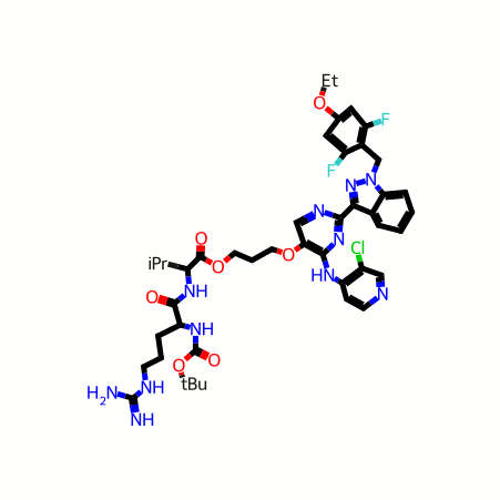 CCOc1cc(F)c(Cn2nc(-c3ncc(OCCCOC(=O)C(NC(=O)C(CCCNC(=N)N)NC(=O)OC(C)(C)C)C(C)C)c(Nc4ccncc4Cl)n3)c3ccccc32)c(F)c1